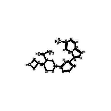 NC(=O)C1CN(c2ccnc(-c3cnc4ccc(C(F)(F)F)cn34)n2)CCN1C1COC1